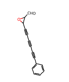 O=CC1OC1C#CC#CC#Cc1ccccc1